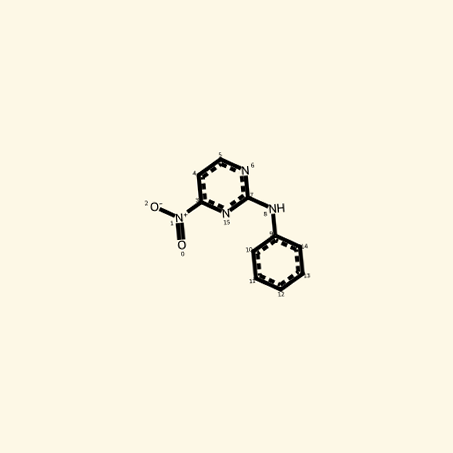 O=[N+]([O-])c1ccnc(Nc2ccccc2)n1